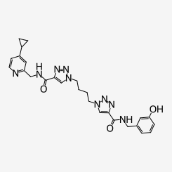 O=C(NCc1cccc(O)c1)c1cn(CCCCn2cc(C(=O)NCc3cc(C4CC4)ccn3)nn2)nn1